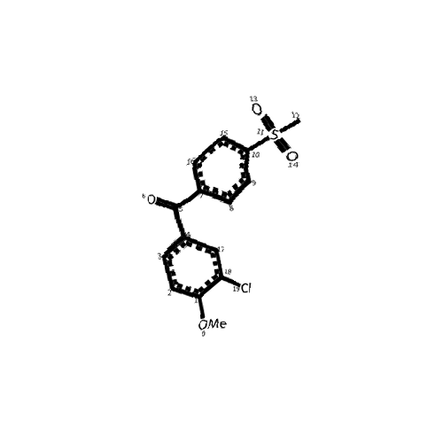 COc1ccc(C(=O)c2ccc(S(C)(=O)=O)cc2)cc1Cl